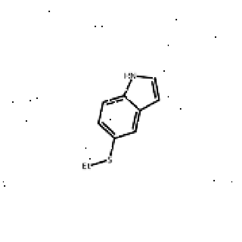 CCSc1ccc2[nH]ccc2c1